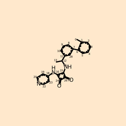 Cc1ccccc1-c1cccc(C(C)Nc2c(Nc3ccncc3)c(=O)c2=O)c1